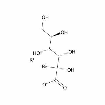 O=C([O-])[C@@](O)([Bi])[C@@H](O)[C@H](O)[C@H](O)CO.[K+]